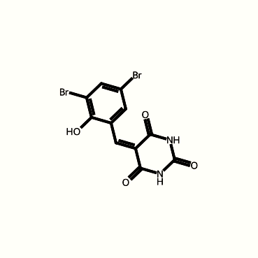 O=C1NC(=O)C(=Cc2cc(Br)cc(Br)c2O)C(=O)N1